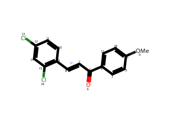 COc1ccc(C(=O)/C=C/c2ccc(Cl)cc2Cl)cc1